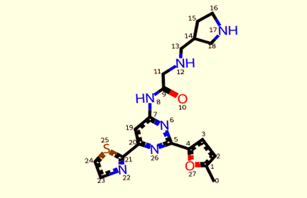 Cc1ccc(-c2nc(NC(=O)CNCC3CCNC3)cc(-c3nccs3)n2)o1